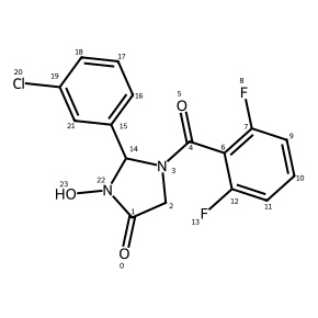 O=C1CN(C(=O)c2c(F)cccc2F)C(c2cccc(Cl)c2)N1O